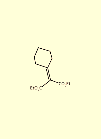 CCOC(=O)C(C(=O)OCC)=C1CCCCC1